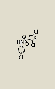 O=S(=O)(Nc1ccc(Cl)cc1)c1cc(Cl)sc1Cl